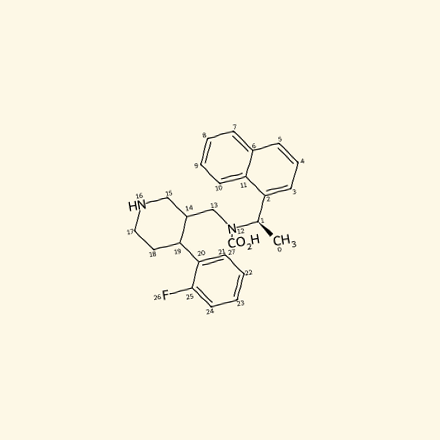 C[C@H](c1cccc2ccccc12)N(CC1CNCCC1c1ccccc1F)C(=O)O